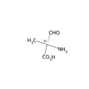 C[C@](N)(C=O)C(=O)O